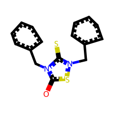 O=c1sn(Cc2ccccc2)c(=S)n1Cc1ccccc1